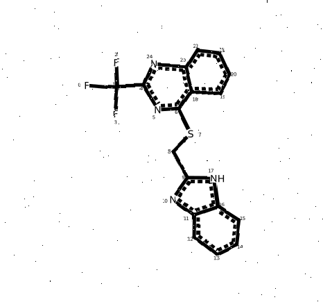 FC(F)(F)c1nc(SCc2nc3ccccc3[nH]2)c2ccccc2n1